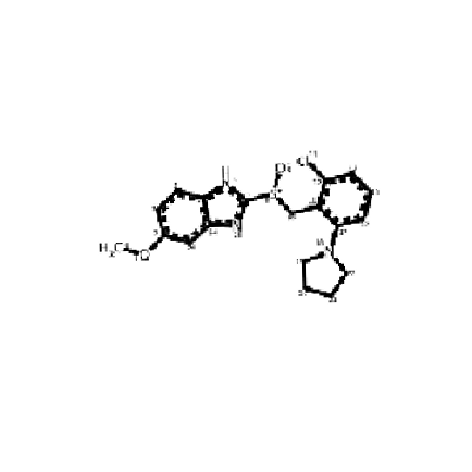 COc1ccc2[nH]c([S+]([O-])Cc3c(Cl)cccc3N3CCCC3)nc2c1